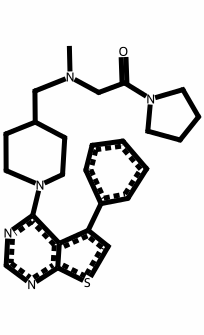 CN(CC(=O)N1CCCC1)CC1CCN(c2ncnc3scc(-c4ccccc4)c23)CC1